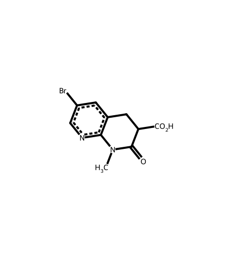 CN1C(=O)C(C(=O)O)Cc2cc(Br)cnc21